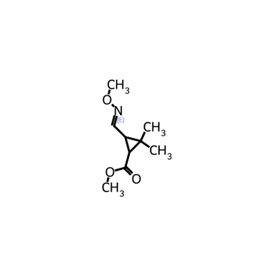 CO/N=C/C1C(C(=O)OC)C1(C)C